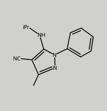 Cc1nn(-c2ccccc2)c(NC(C)C)c1C#N